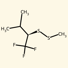 CSS[C@H](C(C)C)C(F)(F)F